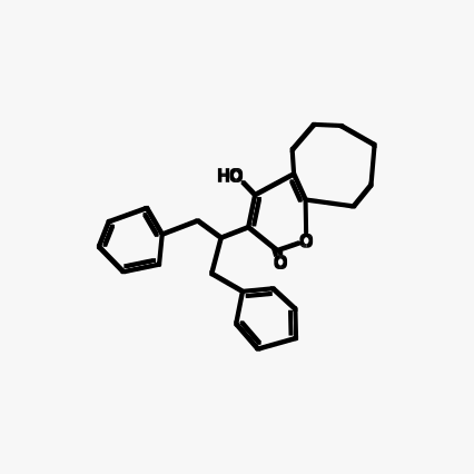 O=c1oc2c(c(O)c1C(Cc1ccccc1)Cc1ccccc1)CCCCCC2